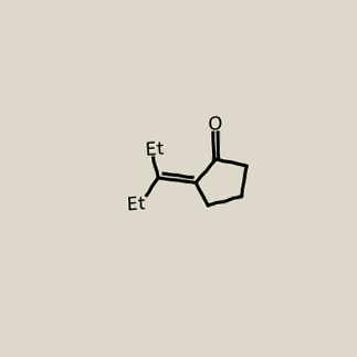 CCC(CC)=C1CCCC1=O